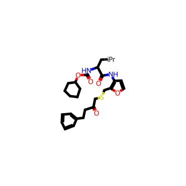 CC(C)CC(NC(=O)OC1CCCCC1)C(=O)Nc1ccoc1CSCC(=O)CCc1ccccc1